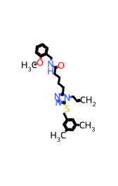 C=CCn1c(CCCCC(=O)NCc2ccccc2OC)nnc1SCc1cc(C)cc(C)c1